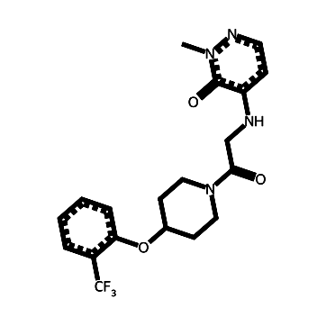 Cn1nccc(NCC(=O)N2CCC(Oc3ccccc3C(F)(F)F)CC2)c1=O